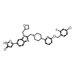 O=c1cc(-c2ccc3nc(CN4CCC(c5cccc(OCc6ccc(Cl)cc6F)n5)CC4)n(CC4CCO4)c3c2)o[nH]1